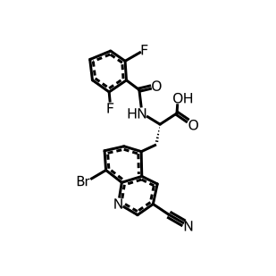 N#Cc1cnc2c(Br)ccc(C[C@H](NC(=O)c3c(F)cccc3F)C(=O)O)c2c1